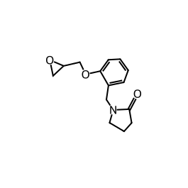 O=C1CCCN1Cc1ccccc1OCC1CO1